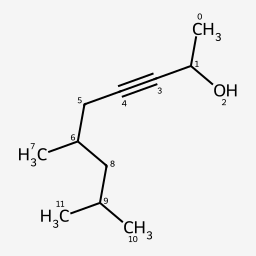 CC(O)C#CCC(C)CC(C)C